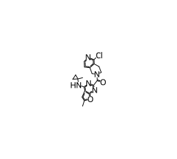 Cc1cc2c(NC3(C)CC3)nc(C(=O)N3CCc4c(ccnc4Cl)C3)nc2o1